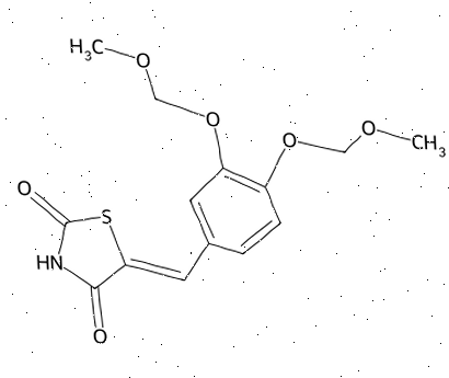 COCOc1ccc(/C=C2\SC(=O)NC2=O)cc1OCOC